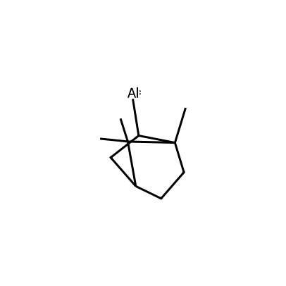 CC1(C)C2CCC1(C)[CH]([Al])C2